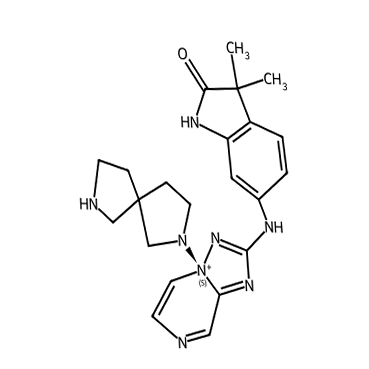 CC1(C)C(=O)Nc2cc(NC3=N[N@@+]4(N5CCC6(CCNC6)C5)C=CN=CC4=N3)ccc21